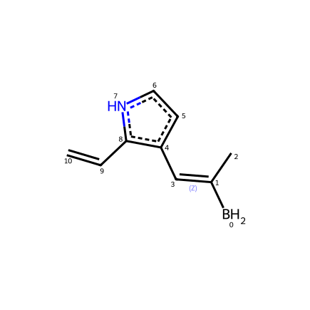 B/C(C)=C/c1cc[nH]c1C=C